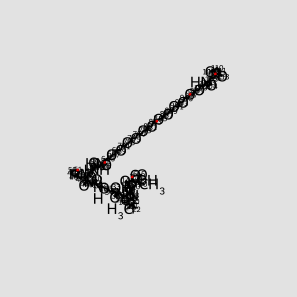 CC[C@@]1(O)C(=O)OCc2c1cc1n(c2=O)Cc2c-1nc1cc(F)c(C)c3c1c2C(NC(=O)[C@H](O)CCOCNC(=O)CNC(=O)[C@H](Cc1ccccc1)NC(=O)CNC(=O)CNC(=O)CCOCCOCCOCCOCCOCCOCCOCCOCCOCCOCCOCCOCCNC(=O)CCN1C(=O)C=CC1=O)CC3